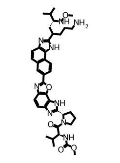 CON[C@H](CC(CCCN)c1nc2ccc3cc(-c4nc5ccc6nc([C@@H]7CCCN7C(=O)[C@@H](NC(=O)OC)C(C)C)[nH]c6c5o4)ccc3c2[nH]1)C(C)C